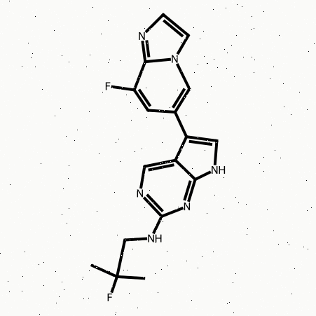 CC(C)(F)CNc1ncc2c(-c3cc(F)c4nccn4c3)c[nH]c2n1